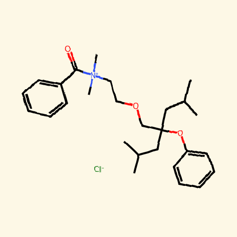 CC(C)CC(COCC[N+](C)(C)C(=O)c1ccccc1)(CC(C)C)Oc1ccccc1.[Cl-]